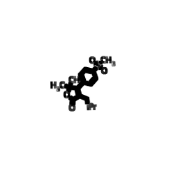 CC(C)CC1=C(c2ccc(S(C)(=O)=O)cc2)C(C)(C)OC1=O